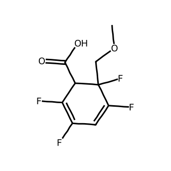 COCC1(F)C(F)=CC(F)=C(F)C1C(=O)O